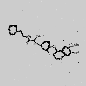 COc1cc2c(Oc3ccc(NC(O)C(=O)NCCc4ccccc4)cc3F)ccnc2cc1O